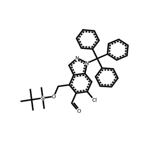 CC(C)(C)[Si](C)(C)OCc1c(C=O)c(Cl)cc2c1cnn2C(c1ccccc1)(c1ccccc1)c1ccccc1